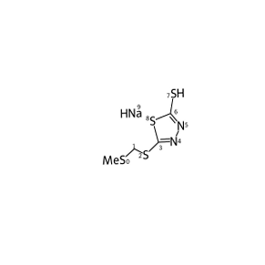 CSCSc1nnc(S)s1.[NaH]